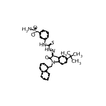 CC(C)(C)c1ccc2c(c1)C(=NNC(=S)Nc1cccc(S(N)(=O)=O)c1)C(=O)N2Cc1cccc2ccccc12